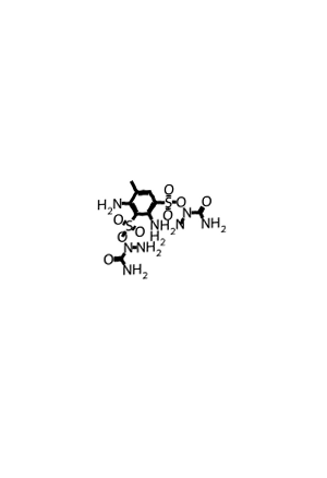 Cc1cc(S(=O)(=O)ON(N)C(N)=O)c(N)c(S(=O)(=O)ON(N)C(N)=O)c1N